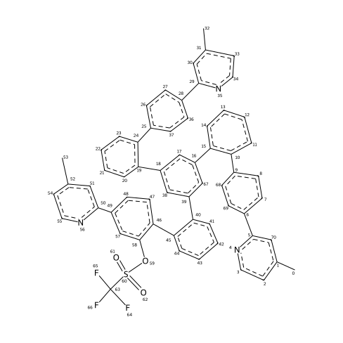 Cc1ccnc(-c2ccc(-c3ccccc3-c3cc(-c4ccccc4-c4ccc(-c5cc(C)ccn5)cc4)cc(-c4ccccc4-c4ccc(-c5cc(C)ccn5)cc4OS(=O)(=O)C(F)(F)F)c3)cc2)c1